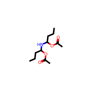 CCCC(NC(CCC)OC(C)=O)OC(C)=O